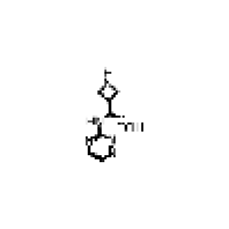 Cl.O=C(Nc1nccnn1)C1CNC1